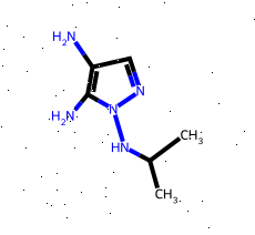 CC(C)Nn1ncc(N)c1N